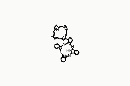 C1=Cc2cc3ccc(cc4nc(cc5ccc(cc1n2)[nH]5)C=C4c1cccc2c1-c1nc-2nc2[nH]c(nc4nc(nc5[nH]c(n1)c1ccccc51)-c1ccccc1-4)c1ccccc21)[nH]3